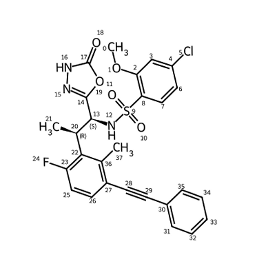 COc1cc(Cl)ccc1S(=O)(=O)N[C@H](c1n[nH]c(=O)o1)[C@H](C)c1c(F)ccc(C#Cc2ccccc2)c1C